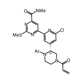 C=CC(=O)N1CCN(C(C)=O)[C@H](c2cc(Cl)nc(-c3cc(C(=O)NC)nc(SC)n3)c2)C1